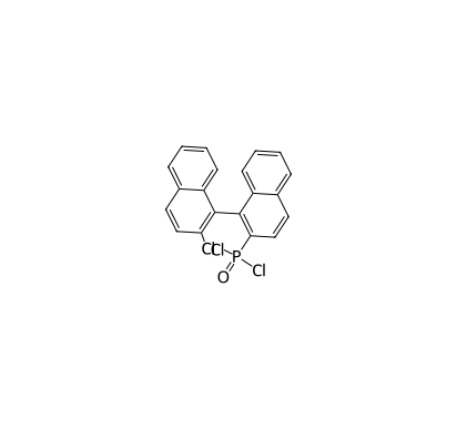 O=P(Cl)(Cl)c1ccc2ccccc2c1-c1c(Cl)ccc2ccccc12